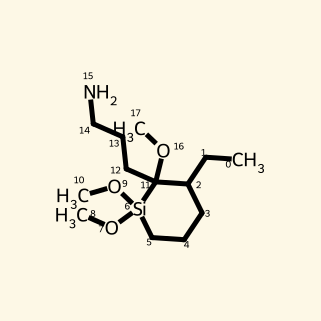 CCC1CCC[Si](OC)(OC)C1(CCCN)OC